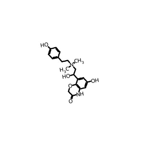 C[N+](C)(CCc1ccc(O)cc1)CC(O)c1cc(O)cc2c1OCC(=O)N2